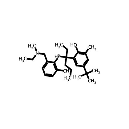 CCCC(CC)(Pc1c(C)cccc1CN(C)CC)c1cc(C(C)(C)C)cc(C)c1O